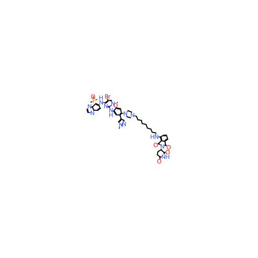 COc1cc(N2CCN(CCCCCCCCCNc3cccc4c3C(=O)N(C3CCC(=O)NC3=O)C4=O)CC2)c(-c2cnn(C)c2)cc1Nc1ncc(Br)c(Nc2ccc3nccnc3c2P(C)(C)=O)n1